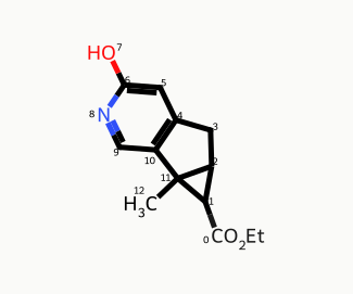 CCOC(=O)C1C2Cc3cc(O)ncc3C21C